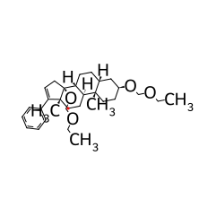 CCOCO[C@H]1CC[C@@]2(C)[C@H](CC[C@@H]3[C@@H]2CC[C@]2(C)C(c4ccccc4)=CC[C@]32OCOCC)C1